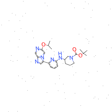 CC(C)Oc1cn2c(-c3cccc(NC4CCCN(C(=O)OC(C)(C)C)C4)n3)cnc2cn1